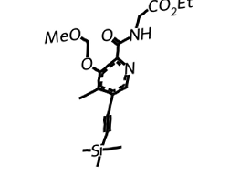 CCOC(=O)CNC(=O)c1ncc(C#C[Si](C)(C)C)c(C)c1OCOC